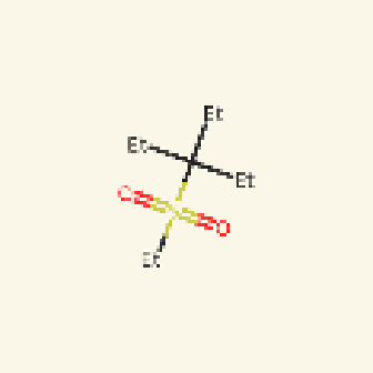 CCC(CC)(CC)S(=O)(=O)CC